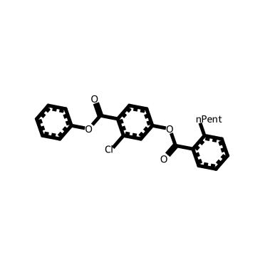 CCCCCc1ccccc1C(=O)Oc1ccc(C(=O)Oc2ccccc2)c(Cl)c1